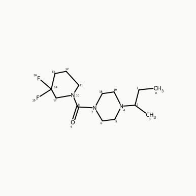 CCC(C)N1CCN(C(=O)N2CCCC(F)(F)C2)CC1